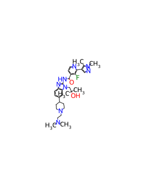 Cc1c(-c2nccc(C(=O)Nc3nc4ccc(C5CCN(CCN(C)C)CC5)cc4n3CC(C)(C)O)c2F)cnn1C